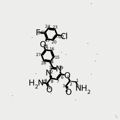 NC[C@@H](C=O)Oc1cc(C(N)=O)nc(-c2ccc(Oc3cc(Cl)ccc3F)cc2)n1